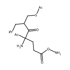 CC(=O)SCC(CC(C)C)C(=O)C(N)(CCC(=O)ON)C(C)=O